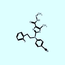 CSNC(=O)c1nc(N(CCc2ccccc2F)c2ccc(C#N)cc2)sc1C